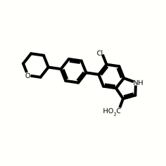 O=C(O)c1c[nH]c2cc(Cl)c(-c3ccc(C4CCCOC4)cc3)cc12